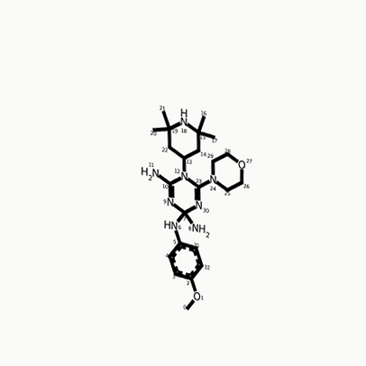 COc1ccc(NC2(N)N=C(N)N(C3CC(C)(C)NC(C)(C)C3)C(N3CCOCC3)=N2)cc1